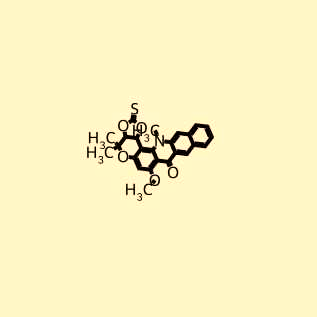 COc1cc2c(c3c1c(=O)c1cc4ccccc4cc1n3C)C1OC(=S)OC1C(C)(C)O2